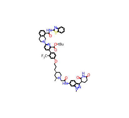 C[C@H]1C[C@@H](CCCOc2ccc(-c3ccc(N4CCc5cccc(C(=O)Nc6nc7ccccc7s6)c5C4)nc3C(=O)OC(C)(C)C)c(C(F)(F)F)c2)CCN1CC(=O)Nc1ccc2c(C3CCC(=O)NC3=O)nn(C)c2c1